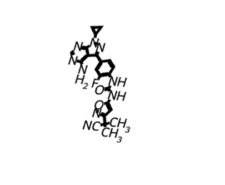 CC(C)(C#N)c1cc(NC(=O)Nc2ccc(-c3nn(C4CC4)c4ncnc(N)c34)cc2F)on1